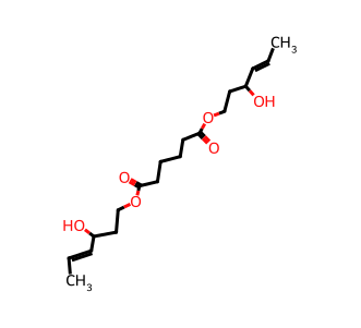 CC=CC(O)CCOC(=O)CCCCC(=O)OCCC(O)C=CC